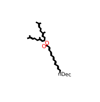 CCCCCCCCCCC/C=C/C=C/C=C/C=C/C=C/C(=O)OC(/C=C(\C)CCC=C(C)C)C/C=C(\C)CCC=C(C)C